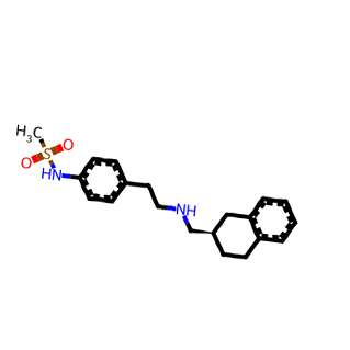 CS(=O)(=O)Nc1ccc(CCNC[C@@H]2CCc3ccccc3C2)cc1